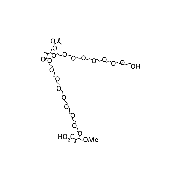 C=C(C)C(=O)OCC(OCCOCCOCCOCCOCCOCCOCCOCCO)C(=C)C(=O)OCCOCCOCCOCCOCCOCCOCCOCCOC(COC)C(=C)C(=O)O